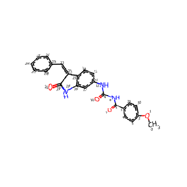 COc1ccc(C(=O)NC(=O)Nc2ccc3c(c2)NC(=O)C3=Cc2ccccc2)cc1